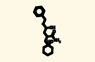 NC(=O)C(CC(O)[CH]Cc1ccccc1)CC1(O)CCCCC1